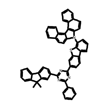 CC1(C)c2ccccc2-c2ccc(-c3nc(-c4ccccc4)nc(-c4ccc5c(c4)sc4c(-n6c7ccc8ccccc8c7c7c8ccccc8ccc76)cccc45)n3)cc21